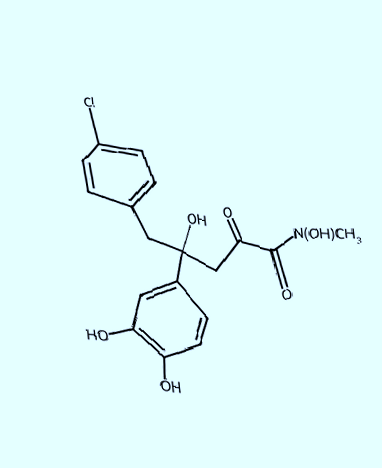 CN(O)C(=O)C(=O)CC(O)(Cc1ccc(Cl)cc1)c1ccc(O)c(O)c1